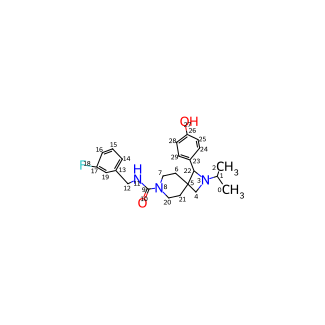 CC(C)N1CC2(CCN(C(=O)NCc3cccc(F)c3)CC2)C1c1ccc(O)cc1